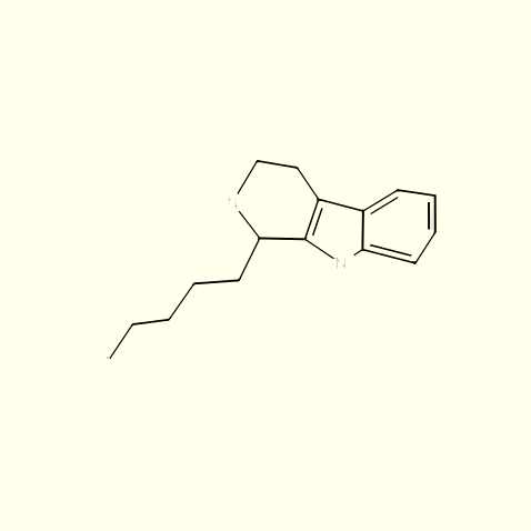 ClCCCCC1NCCc2c1[nH]c1ccccc21